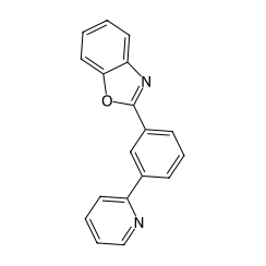 c1ccc(-c2cccc(-c3nc4ccccc4o3)c2)nc1